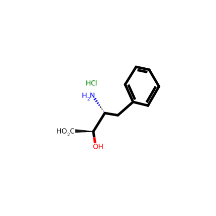 Cl.N[C@H](Cc1ccccc1)[C@@H](O)C(=O)O